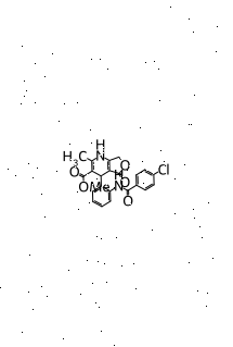 COC(=O)C1=C(C)NC2=C(C(=O)OC2)C1c1ccccc1NC(=O)c1ccc(Cl)cc1